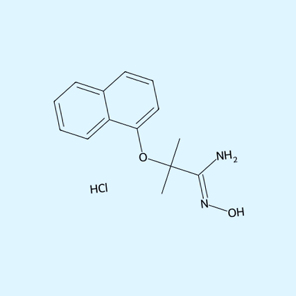 CC(C)(Oc1cccc2ccccc12)C(N)=NO.Cl